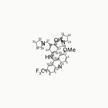 COc1ccc2nc3ccc(C(F)(F)F)cc3c(Nc3cc(CN4CCCC4)c(O)c(CN4CCCC4)c3)c2c1